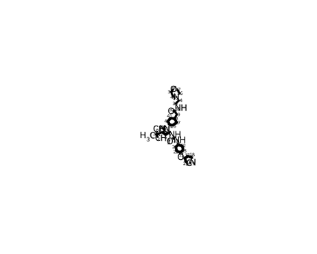 CC(C)(C)c1cc(NC(=O)Nc2ccc(Oc3ccncc3)cc2)n(-c2ccc(CC(=O)NCCN3CCOCC3)cc2)n1